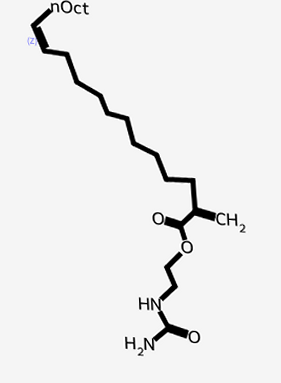 C=C(CCCCCCCCC/C=C\CCCCCCCC)C(=O)OCCNC(N)=O